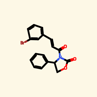 O=C(/C=C/c1cccc(Br)c1)N1C(=O)OCC1c1ccccc1